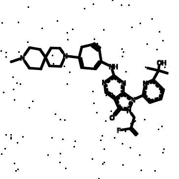 C=C(F)Cn1c(=O)c2cnc(NC3=CC=C(N4CCC5(CCN(C)CC5)CC4)CC#C3)nc2n1-c1cccc(C(C)(C)O)n1